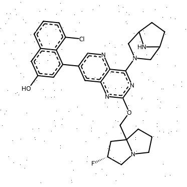 Oc1cc(-c2cnc3c(N4CC5CCC(C4)N5)nc(OCC45CCCN4C[C@H](F)C5)nc3c2)c2c(Cl)cccc2c1